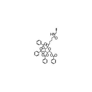 C#CCNC(=O)CCCCOC1OC(COC(=O)c2ccccc2)C(OC(=O)c2ccccc2)C(OC(=O)c2ccccc2)C1OC(=O)c1ccccc1